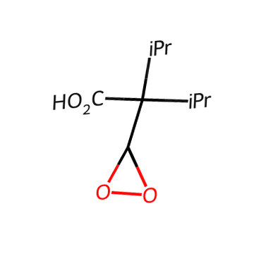 CC(C)C(C(=O)O)(C(C)C)C1OO1